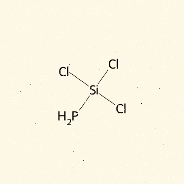 P[Si](Cl)(Cl)Cl